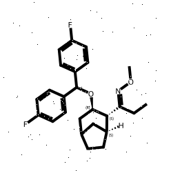 CCC(=NOC)[C@@H]1[C@H]2CCC(C2)C[C@H]1OC(c1ccc(F)cc1)c1ccc(F)cc1